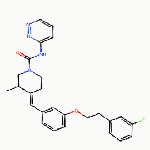 CC1CN(C(=O)Nc2cccnn2)CCC1=Cc1cccc(OCCc2cccc(F)c2)c1